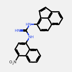 N=C(Nc1ccc2cccc3c2c1C=C3)Nc1ccc([N+](=O)[O-])c2ccccc12